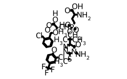 CP(=O)(O)CCC(N)C(=O)O.CSc1nnc(C(C)(C)C)c(=O)n1N.C[C@H](OC(=O)c1cc(Oc2ccc(C(F)(F)F)cc2Cl)ccc1Cl)C(=O)O